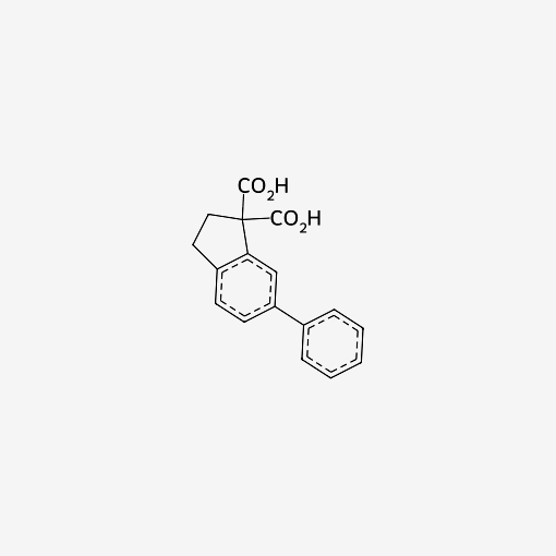 O=C(O)C1(C(=O)O)CCc2ccc(-c3ccccc3)cc21